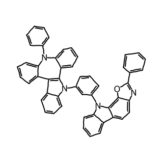 c1ccc(-c2nc3ccc4c5ccccc5n(-c5cccc(-n6c7c(c8ccccc86)-c6ccccc6N(c6ccccc6)c6ccccc6-7)c5)c4c3o2)cc1